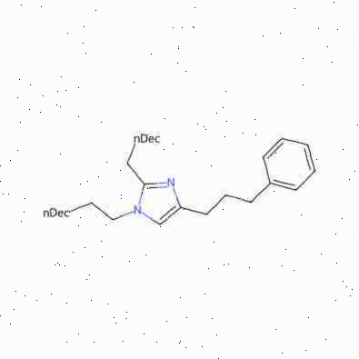 CCCCCCCCCCCCn1cc(CCCc2ccccc2)nc1CCCCCCCCCCC